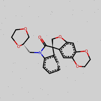 O=C1N(C[C@H]2COCCO2)c2ccccc2[C@]12COc1cc3c(cc12)OCCO3